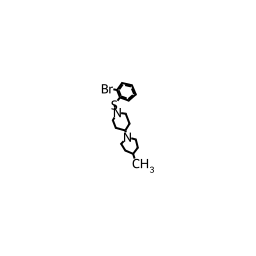 CC1CCN(C2CCN(Sc3ccccc3Br)CC2)CC1